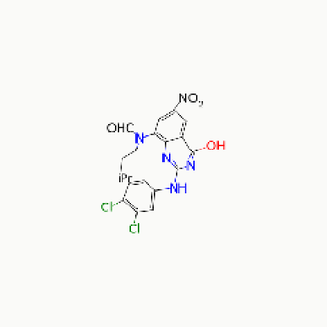 CC(C)CCN(C=O)c1cc([N+](=O)[O-])cc2c(O)nc(Nc3ccc(Cl)c(Cl)c3)nc12